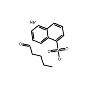 CCCCC=O.O=S(=O)([O-])c1cccc2ccccc12.[Na+]